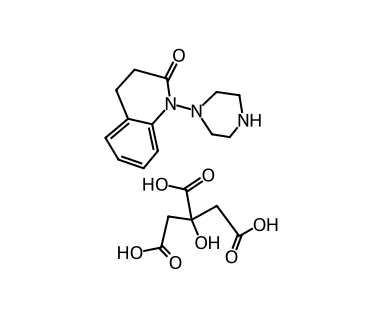 O=C(O)CC(O)(CC(=O)O)C(=O)O.O=C1CCc2ccccc2N1N1CCNCC1